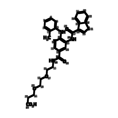 Cc1ccccc1Nc1ncc(C(=O)NCCOCCOCCC(=O)O)cc1NC(=O)c1csc2ccccc12